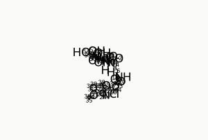 COC(=O)[C@H](CCCCNS(=O)(=O)c1ccc(Cl)c(COC2(c3cnccc3-c3ccccc3OC3CC3)CC2)c1)NC(=O)NC[C@H](O)[C@@H](O)[C@H](O)[C@H](O)CO